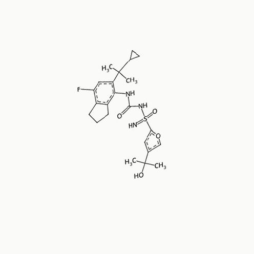 CC(C)(O)c1coc(S(=N)(=O)NC(=O)Nc2c(C(C)(C)C3CC3)cc(F)c3c2CCC3)c1